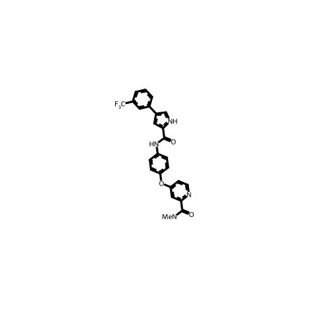 CNC(=O)c1cc(Oc2ccc(NC(=O)c3cc(-c4cccc(C(F)(F)F)c4)c[nH]3)cc2)ccn1